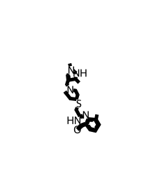 Cc1cccc2c(=O)[nH]c(CSC3CCN(CC4=CN(C)NC4C)CC3)nc12